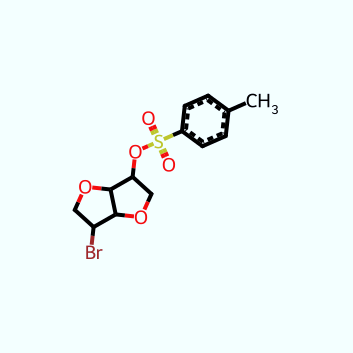 Cc1ccc(S(=O)(=O)OC2COC3C(Br)COC23)cc1